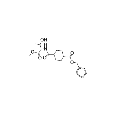 COC(=O)C(NC(=O)C1CCC(C(=O)OCc2ccccc2)CC1)C(C)O